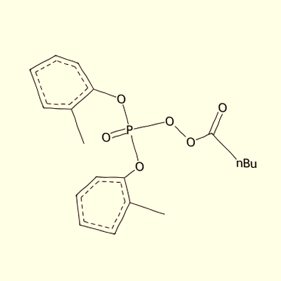 CCCCC(=O)OOP(=O)(Oc1ccccc1C)Oc1ccccc1C